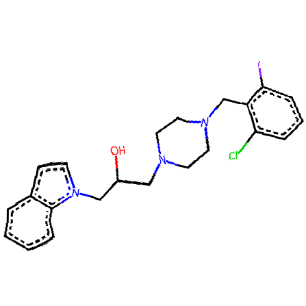 OC(CN1CCN(Cc2c(Cl)cccc2I)CC1)Cn1ccc2ccccc21